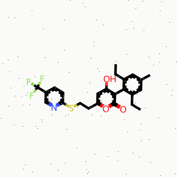 CCc1cc(C)cc(CC)c1-c1c(O)cc(CCSc2ccc(C(F)(F)F)cn2)oc1=O